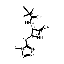 Cn1nnnc1S[C@@H]1NC(=O)[C@H]1NC(=O)C(C)(C)C